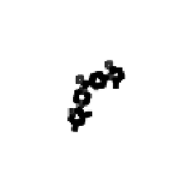 Cc1cnc(N2CCN(C(=O)c3[c]cc(N4C(=O)CCC4C)cc3)CC2)c(C)c1